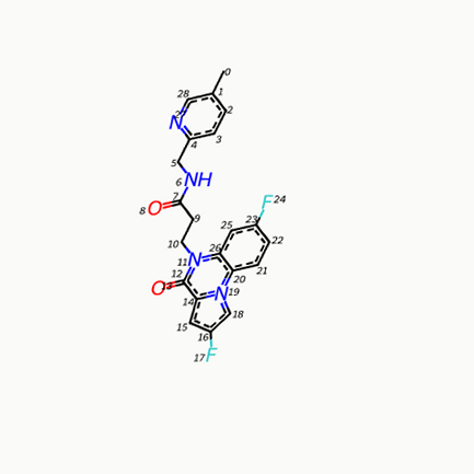 Cc1ccc(CNC(=O)CCn2c(=O)c3cc(F)cn3c3ccc(F)cc32)nc1